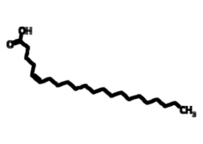 CCCCCCCCCCCCCCCC/C=C\CCCC(=O)O